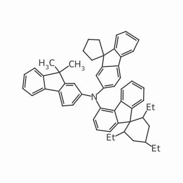 CCC1CC(CC)C2(c3ccccc3-c3c(N(c4ccc5c(c4)C(C)(C)c4ccccc4-5)c4ccc5c(c4)C4(CCCC4)c4ccccc4-5)cccc32)C(CC)C1